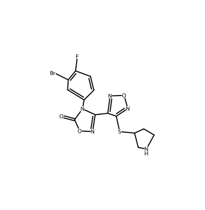 O=c1onc(-c2nonc2SC2CCNC2)n1-c1ccc(F)c(Br)c1